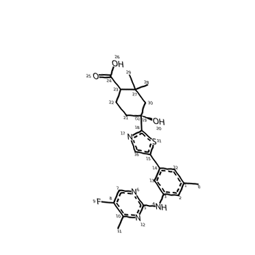 Cc1cc(Nc2ncc(F)c(C)n2)cc(-c2cnc([C@]3(O)CCC(C(=O)O)C(C)(C)C3)s2)c1